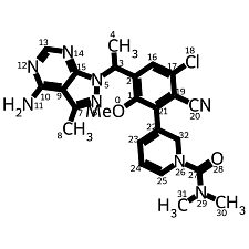 COc1c(C(C)n2nc(C)c3c(N)ncnc32)cc(Cl)c(C#N)c1C1=CC=CN(C(=O)N(C)C)C1